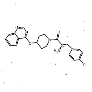 N[C@H](Cc1ccc(Cl)cc1)C(=O)N1CCC(Oc2ncnc3ccccc23)CC1